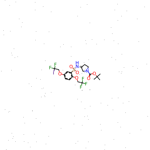 CC(C)(C)OC(=O)N1CC[C@@H](NS(=O)(=O)c2cc(OCC(F)(F)I)ccc2OCC(F)(F)F)C1